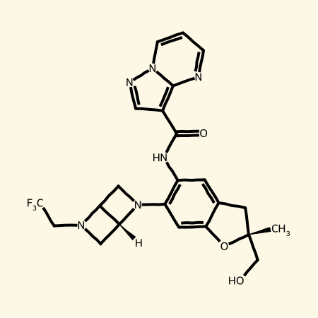 C[C@]1(CO)Cc2cc(NC(=O)c3cnn4cccnc34)c(N3CC4[C@H]3CN4CC(F)(F)F)cc2O1